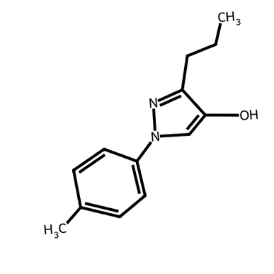 CCCc1nn(-c2ccc(C)cc2)cc1O